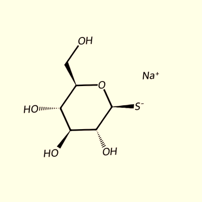 OC[C@H]1O[C@@H]([S-])[C@H](O)[C@@H](O)[C@@H]1O.[Na+]